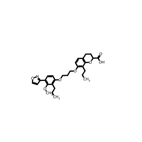 CCCc1c(OCCCOc2ccc(-c3ccon3)c(OC)c2CCC)ccc2c1OC(C(=O)O)CC2